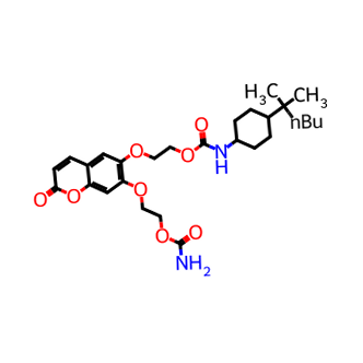 CCCCC(C)(C)C1CCC(NC(=O)OCCOc2cc3ccc(=O)oc3cc2OCCOC(N)=O)CC1